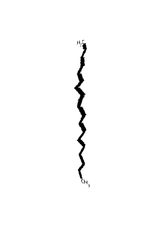 C=CC=CC=CC=CC=CC=CC=CC=CCC